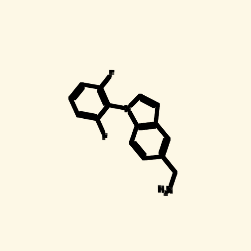 NCc1ccc2c(ccn2-c2c(F)cccc2F)c1